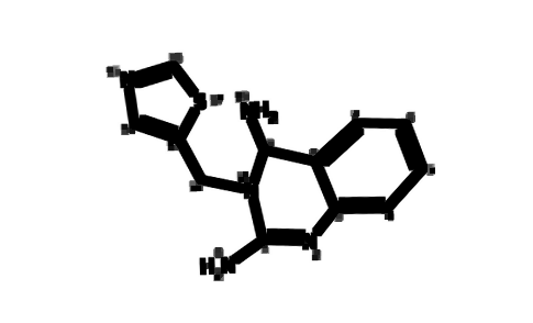 NC1=Nc2ccccc2C(N)N1Cc1cncs1